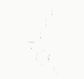 CCCCCOC(=O)C1OC1(C)c1ccc(OC)cc1